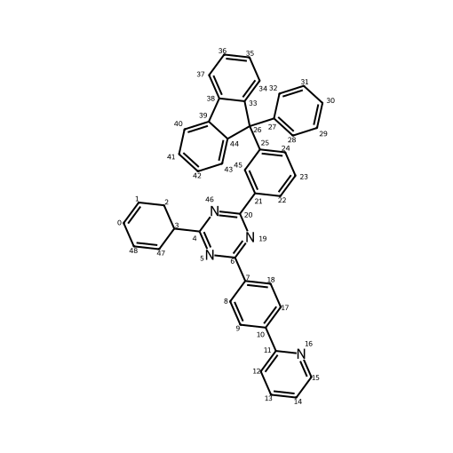 C1=CCC(c2nc(-c3ccc(-c4ccccn4)cc3)nc(-c3cccc(C4(c5ccccc5)c5ccccc5-c5ccccc54)c3)n2)C=C1